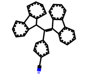 N#Cc1ccc(C(=C2c3ccccc3-c3ccccc32)C2c3ccccc3-c3ccccc32)cc1